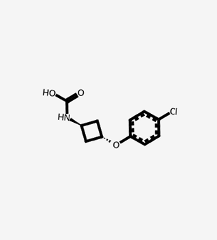 O=C(O)N[C@H]1C[C@H](Oc2ccc(Cl)cc2)C1